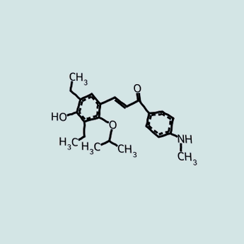 CCc1cc(/C=C/C(=O)c2ccc(NC)cc2)c(OC(C)C)c(CC)c1O